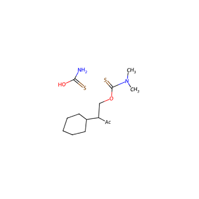 CC(=O)C(COC(=S)N(C)C)C1CCCCC1.NC(O)=S